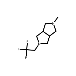 CN1CC2CN(CC(F)(F)F)CC2C1